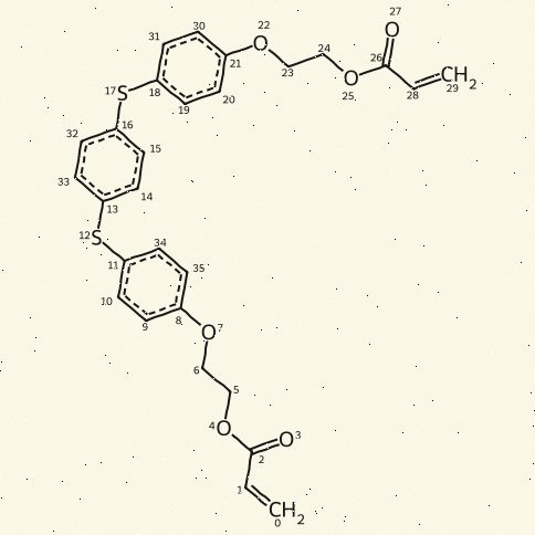 C=CC(=O)OCCOc1ccc(Sc2ccc(Sc3ccc(OCCOC(=O)C=C)cc3)cc2)cc1